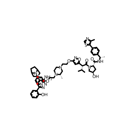 Cc1ncsc1-c1ccc([C@H](C)NC(=O)[C@@H]2C[C@@H](O)CN2C(=O)[C@@H](c2cc(OCCN3CCN(CCOc4cc(N5C6CCC5CN(c5cc(-c7ccccc7O)nnc5N)C6)ccn4)[C@@H](C)C3)no2)C(C)C)cc1